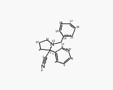 N#CC1(c2cccnc2)CCCN1Cc1ccccc1